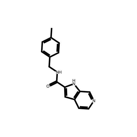 Cc1ccc(CNC(=O)c2cc3ccncc3[nH]2)cc1